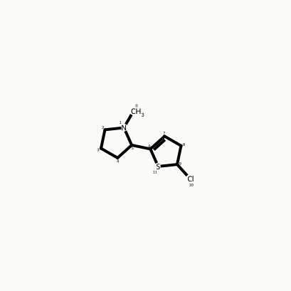 CN1CCCC1C1=CCC(Cl)S1